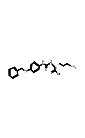 NCCC[C@@H](NC(=O)Nc1ccc(OCc2ccccc2)cc1)C(=O)O